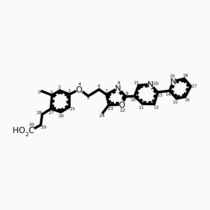 Cc1cc(OCCc2nc(-c3ccc(-c4ccccn4)nc3)oc2C)ccc1CCC(=O)O